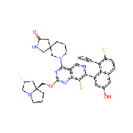 C#Cc1c(F)ccc2cc(O)cc(-c3ncc4c(N5CCCC6(CNC(=O)C6)C5)nc(OC[C@@]56CCCN5C[C@H](F)C6)nc4c3F)c12